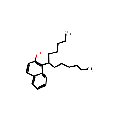 CCCCCCC(CCCCC)c1c(O)ccc2ccccc12